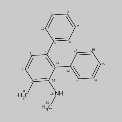 [CH2]c1ccc(-c2ccccc2)c(-c2ccccc2)c1NC